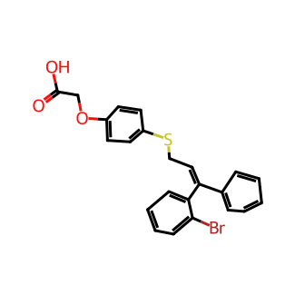 O=C(O)COc1ccc(SCC=C(c2ccccc2)c2ccccc2Br)cc1